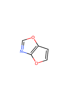 c1nc2occc2o1